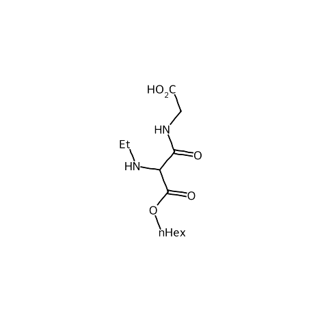 CCCCCCOC(=O)C(NCC)C(=O)NCC(=O)O